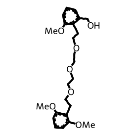 COc1cccc(CO)c1CCOCCOCCOCCc1c(OC)cccc1OC